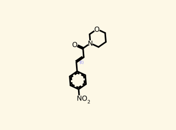 O=C(/C=C/c1ccc([N+](=O)[O-])cc1)N1CCCOC1